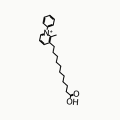 Cc1c(CCCCCCCCCCC(=O)O)ccc[n+]1-c1ccccc1